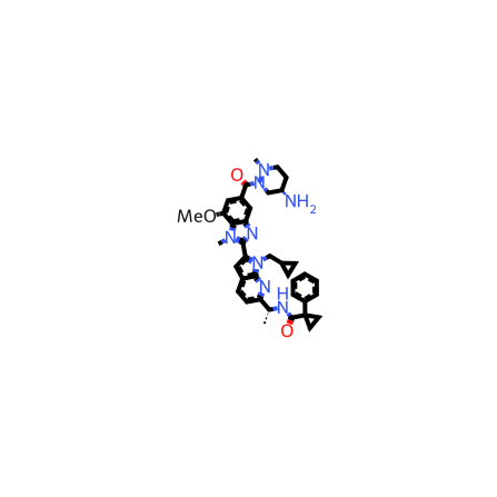 COc1cc(C(=O)N2C[C@H](N)CCN2C)cc2nc(-c3cc4ccc([C@@H](C)NC(=O)C5(c6ccccc6)CC5)nc4n3CC3CC3)n(C)c12